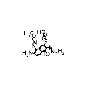 CN=Nc1c(SOOO)cc2c(N=NCOC)c(N)ccc2c1O